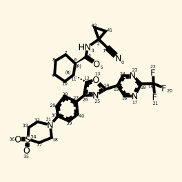 N#CC1(NC(=O)[C@@H]2CCCC[C@H]2c2oc(-c3cnc(C(F)(F)F)nc3)nc2-c2ccc(N3CCS(=O)(=O)CC3)cc2)CC1